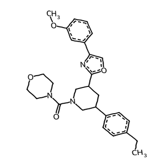 CCc1ccc(C2CC(c3nc(-c4cccc(OC)c4)co3)CN(C(=O)N3CCOCC3)C2)cc1